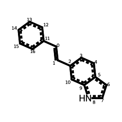 C(=C\c1ccc2cc[nH]c2c1)/c1ccccc1